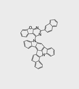 c1ccc2cc(-c3nc(-n4c5ccccc5c5c6c7ccc8ccccc8c7n7c8ccccc8c(cc54)c67)c4c(n3)oc3ccccc34)ccc2c1